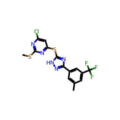 CSc1nc(Cl)cc(Sc2nc(-c3cc(C)cc(C(F)(F)F)c3)n[nH]2)n1